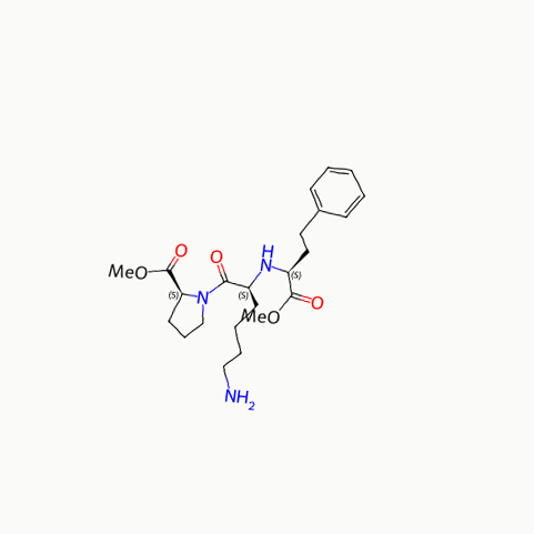 COC(=O)[C@H](CCc1ccccc1)N[C@@H](CCCCN)C(=O)N1CCC[C@H]1C(=O)OC